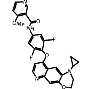 COc1ccncc1C(=O)Nc1cc(F)c(Oc2ccnc3cc4c(cc23)N(C2CC2)CCO4)c(F)c1